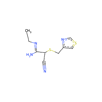 CCN=C(N)C(C#N)SCc1cscn1